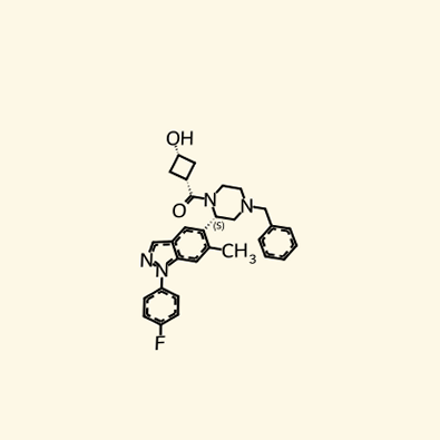 Cc1cc2c(cnn2-c2ccc(F)cc2)cc1[C@H]1CN(Cc2ccccc2)CCN1C(=O)[C@H]1C[C@@H](O)C1